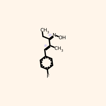 CCC(=N/O)/C(C)=C/c1ccc(F)cc1